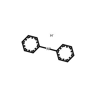 [H-].c1cc[c]([Al+][c]2ccccc2)cc1